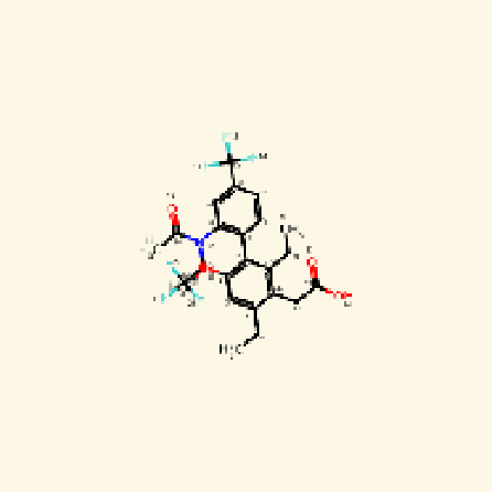 CCc1cc(OC)c(-c2ccc(C(F)(F)F)cc2N(CC(F)(F)F)C(C)=O)c(CC)c1CC(=O)O